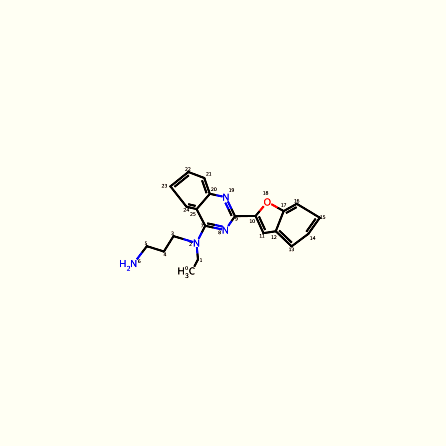 CCN(CCCN)c1nc(-c2cc3ccccc3o2)nc2ccccc12